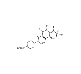 CCCCCC1=CCC(c2ccc3c(c2F)C(F)C(F)C2=C(F)C(C)(CCC)CC=C23)CC1